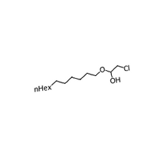 CCCCCCCCCCCCOC(O)CCl